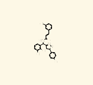 O=C(C=Cc1cccc(Cl)c1)NC(C1=NNC(c2ccc(Br)cc2)C1)c1cccc(Cl)c1Cl